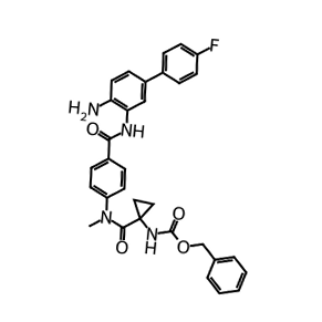 CN(C(=O)C1(NC(=O)OCc2ccccc2)CC1)c1ccc(C(=O)Nc2cc(-c3ccc(F)cc3)ccc2N)cc1